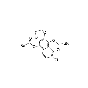 CC(C)(C)C(=O)Oc1c2c(c(OC(=O)C(C)(C)C)c3cc(Cl)ccc13)OCCO2